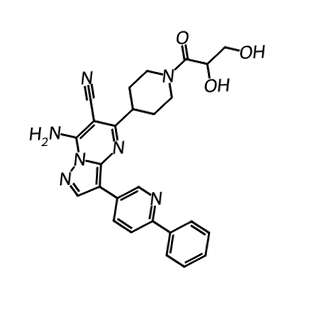 N#Cc1c(C2CCN(C(=O)C(O)CO)CC2)nc2c(-c3ccc(-c4ccccc4)nc3)cnn2c1N